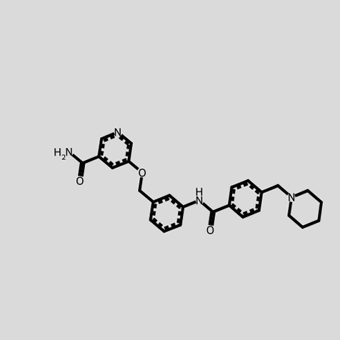 NC(=O)c1cncc(OCc2cccc(NC(=O)c3ccc(CN4CCCCC4)cc3)c2)c1